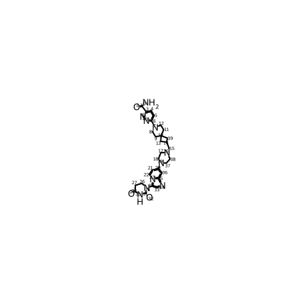 NC(=O)c1ccc(N2CCC3(CC2)CC(CN2CCN(c4ccn5c(N6CCC(=O)NC6=O)cnc5c4)CC2)C3)nn1